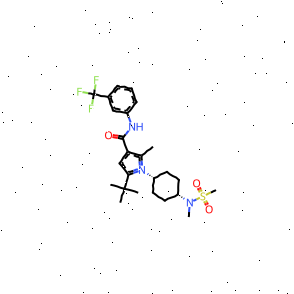 Cc1c(C(=O)Nc2cccc(C(F)(F)F)c2)cc(C(C)(C)C)n1[C@H]1CC[C@@H](N(C)S(C)(=O)=O)CC1